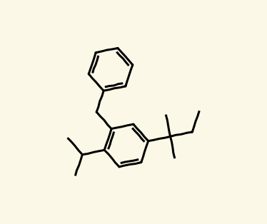 CCC(C)(C)c1ccc(C(C)C)c(Cc2ccccc2)c1